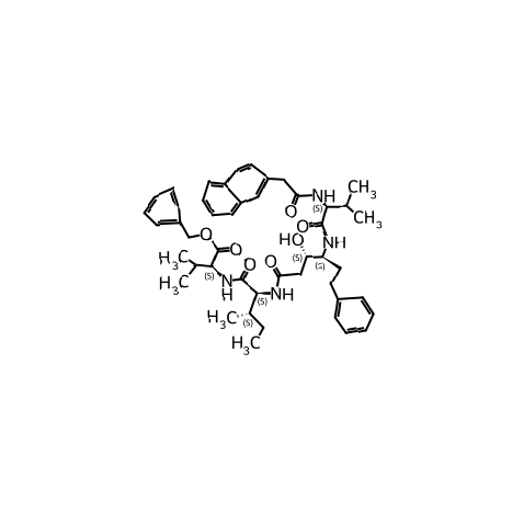 CC[C@H](C)[C@H](NC(=O)C[C@H](O)[C@H](CCc1ccccc1)NC(=O)[C@@H](NC(=O)Cc1ccc2ccccc2c1)C(C)C)C(=O)N[C@H](C(=O)OCc1ccccc1)C(C)C